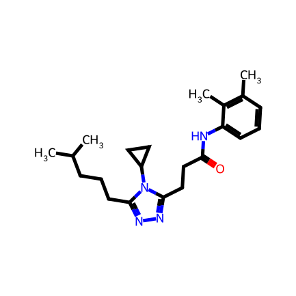 Cc1cccc(NC(=O)CCc2nnc(CCCC(C)C)n2C2CC2)c1C